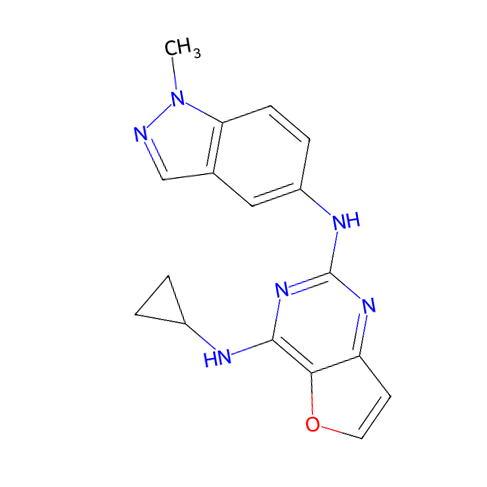 Cn1ncc2cc(Nc3nc(NC4CC4)c4occc4n3)ccc21